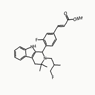 COC(=O)C=Cc1ccc(C2c3[nH]c4ccccc4c3CC(C)(C)N2CC(C)CF)c(F)c1